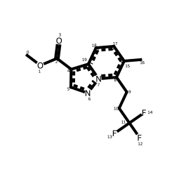 COC(=O)c1cnn2c(CCC(F)(F)F)c(C)ccc12